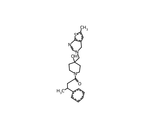 Cc1cc2c(s1)N=CN(CC1(O)CCN(C(=O)CC(C)c3ccccc3)CC1)C2